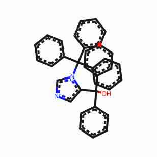 OC(c1ccccc1)(c1ccccc1)c1cncn1C(c1ccccc1)(c1ccccc1)c1ccccc1